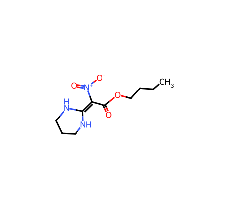 CCCCOC(=O)C(=C1NCCCN1)[N+](=O)[O-]